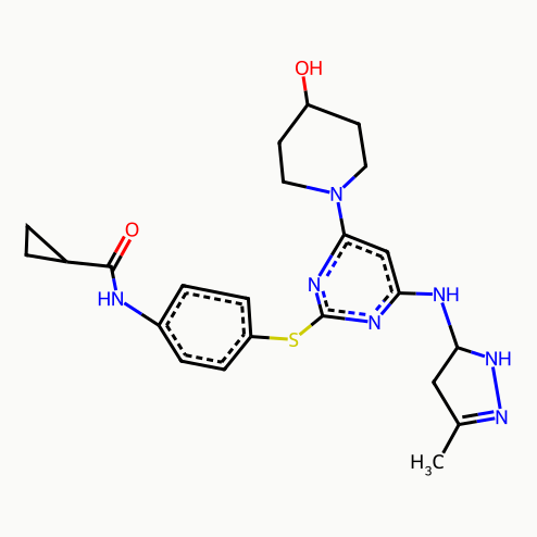 CC1=NNC(Nc2cc(N3CCC(O)CC3)nc(Sc3ccc(NC(=O)C4CC4)cc3)n2)C1